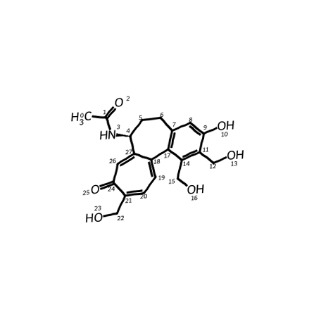 CC(=O)N[C@H]1CCc2cc(O)c(CO)c(CO)c2-c2ccc(CO)c(=O)cc21